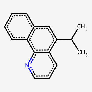 CC(C)c1cc2ccccc2c2ncccc12